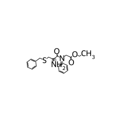 CCOC(=O)CN(C(=O)[C@@H](N)CSCc1ccccc1)c1ccccc1